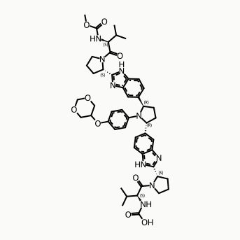 COC(=O)N[C@H](C(=O)N1CCC[C@H]1c1nc2cc([C@H]3CC[C@H](c4ccc5[nH]c([C@@H]6CCCN6C(=O)[C@@H](NC(=O)O)C(C)C)nc5c4)N3c3ccc(OC4COCOC4)cc3)ccc2[nH]1)C(C)C